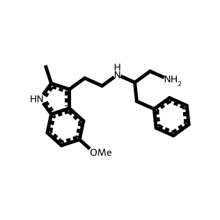 COc1ccc2[nH]c(C)c(CCNC(CN)Cc3ccccc3)c2c1